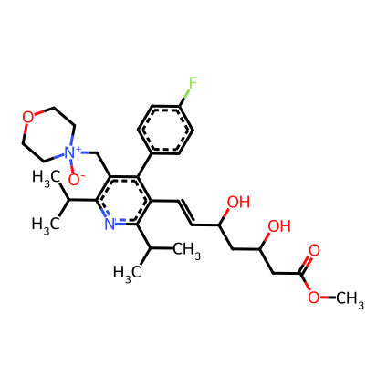 COC(=O)CC(O)CC(O)C=Cc1c(C(C)C)nc(C(C)C)c(C[N+]2([O-])CCOCC2)c1-c1ccc(F)cc1